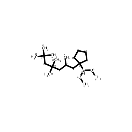 CO[SiH](OC)C1(CC(C)CC(C)(C)CC(C)(C)C)CCCC1